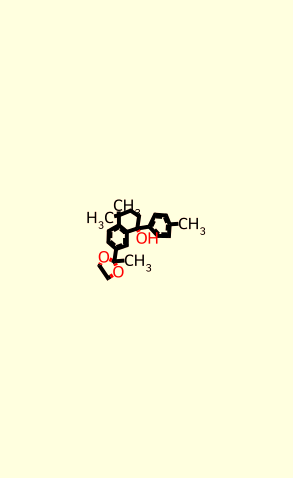 Cc1ccc(C2(O)CCC(C)(C)c3ccc(C4(C)OCCO4)cc32)cc1